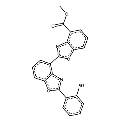 COC(=O)c1cccc2oc(-c3cccc4oc(-c5ccccc5S)nc34)nc12